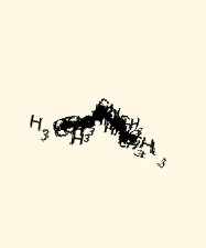 COC(=O)c1cc(NC(=O)c2nc(NC(=O)c3cc(-c4ccc(NC(=O)OC(C)(C)C)cc4)cn3C)cn2C)cn1C